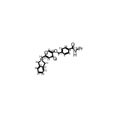 CC(C)NC(=O)c1ccc(COc2coc(CN3Cc4ccccc4C3)cc2=O)cc1